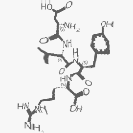 CC(C)[C@H](NC(=O)[C@@H](N)CC(=O)O)C(=O)N[C@@H](Cc1ccc(O)cc1)C(=O)N[C@@H](CCCNC(=N)N)C(=O)O